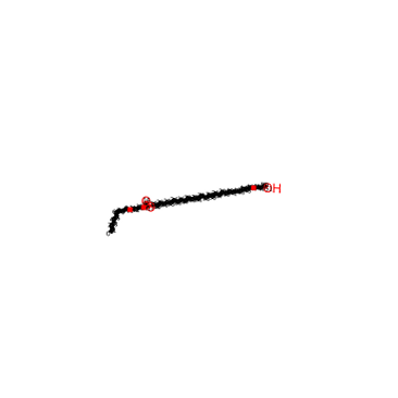 CCCCCC/C=C\CCCCCCCC(=O)OCCCCCCCCCCCCCCCCCCCCCCCCCCCCCCCCCO